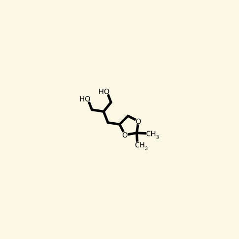 CC1(C)OCC(CC(CO)CO)O1